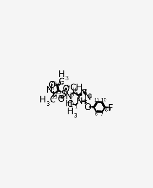 CCn1c(Oc2ccc(F)cc2)nnc1[C@@H](C)NS(=O)(=O)c1c(C)noc1C